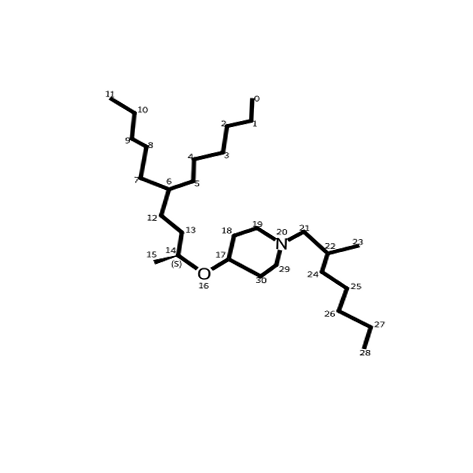 CCCCCCC(CCCCC)CC[C@H](C)OC1CCN(CC(C)CCCCC)CC1